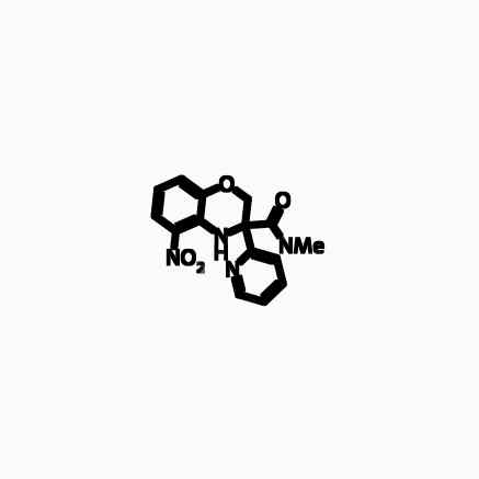 CNC(=O)C1(c2ccccn2)COc2cccc([N+](=O)[O-])c2N1